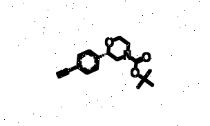 C#Cc1ccc([C@H]2CN(C(=O)OC(C)(C)C)CCO2)cc1